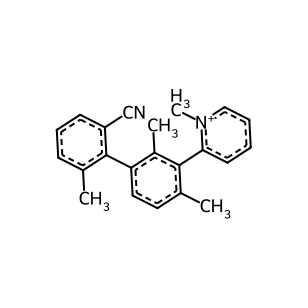 Cc1cccc(C#N)c1-c1ccc(C)c(-c2cccc[n+]2C)c1C